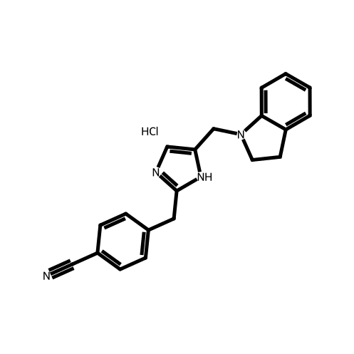 Cl.N#Cc1ccc(Cc2ncc(CN3CCc4ccccc43)[nH]2)cc1